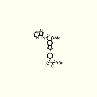 COc1cc2nn(C3CCC(N(C)C(=O)OC(C)(C)C)CC3)cc2cc1C(=O)Nc1cnn2cccnc12